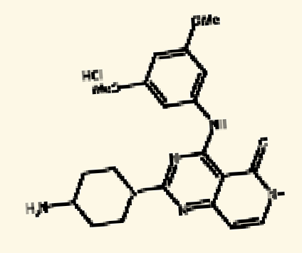 COc1cc(Nc2nc(N3CCC(N)CC3)nc3cc[nH]c(=O)c23)cc(OC)c1.Cl